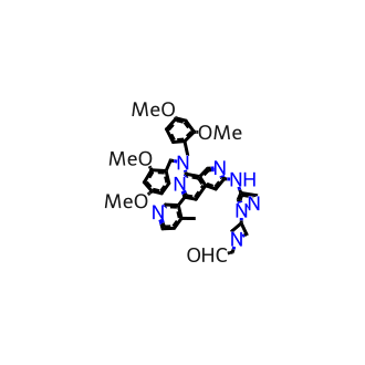 COc1ccc(CN(Cc2ccc(OC)cc2OC)c2nc(-c3cnccc3C)cc3cc(Nc4cnn(C5CN(CC=O)C5)c4)ncc23)c(OC)c1